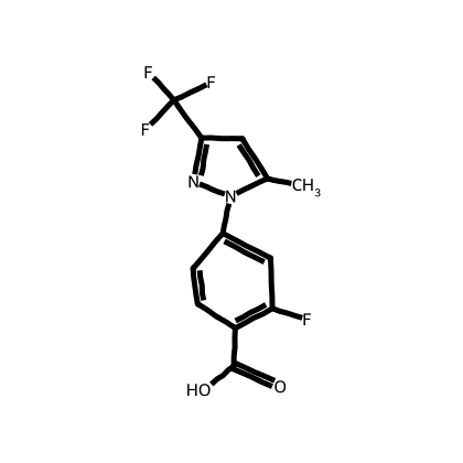 Cc1cc(C(F)(F)F)nn1-c1ccc(C(=O)O)c(F)c1